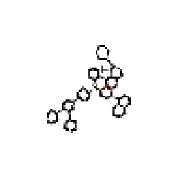 C1=Cc2cccc(-c3ccccc3N(c3ccc(-c4ccc(-c5ccccc5)c(-c5ccccc5)c4)cc3)c3ccc(-c4cccc5ccccc45)cc3)c2[C@@H]2C1=C2C1CCCCC1